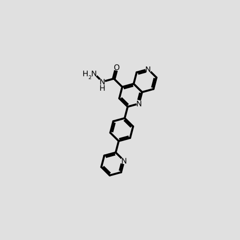 NNC(=O)c1cc(-c2ccc(-c3ccccn3)cc2)nc2ccncc12